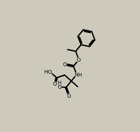 CC(OC(=O)NC(C)(CC(=O)O)C(=O)O)c1ccccc1